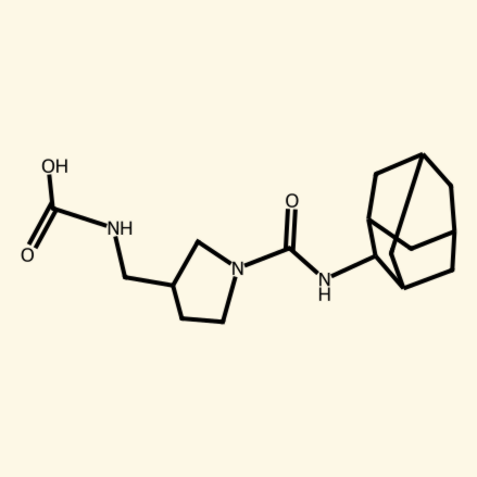 O=C(O)NCC1CCN(C(=O)NC2C3CC4CC(C3)CC2C4)C1